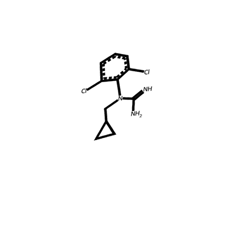 N=C(N)N(CC1CC1)c1c(Cl)cccc1Cl